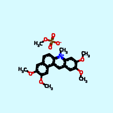 COS(=O)(=O)[O-].COc1cc2ccc3c(cc4cc(OC)c(OC)cc4[n+]3C)c2cc1OC